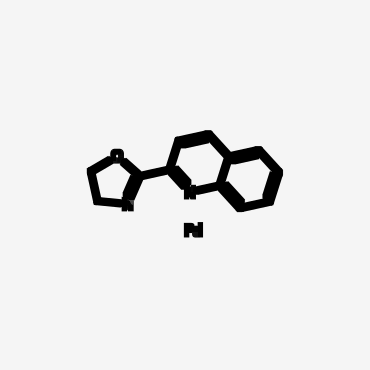 [Pd].c1ccc2nc(C3=NCCO3)ccc2c1